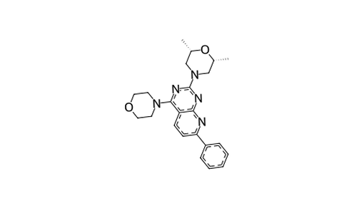 C[C@@H]1CN(c2nc(N3CCOCC3)c3ccc(-c4ccccc4)nc3n2)C[C@H](C)O1